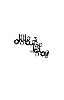 COc1cc(CC(=O)N[C@@H](CCSC)C(=O)NCC(C(=O)O)c2ccc3c(c2)OCO3)ccc1NC(=O)Nc1ccccc1